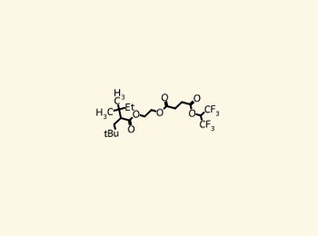 CCC(C)(C)C(CC(C)(C)C)C(=O)OCCOC(=O)CCC(=O)OC(C(F)(F)F)C(F)(F)F